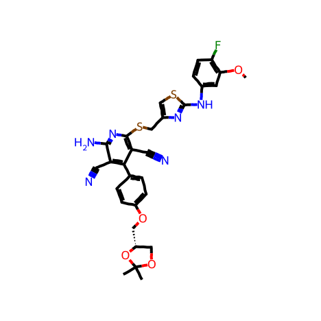 COc1cc(Nc2nc(CSc3nc(N)c(C#N)c(-c4ccc(OC[C@@H]5COC(C)(C)O5)cc4)c3C#N)cs2)ccc1F